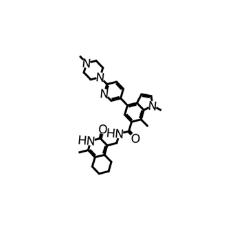 Cc1[nH]c(=O)c(CNC(=O)c2cc(-c3ccc(N4CCN(C)CC4)nc3)c3ccn(C)c3c2C)c2c1CCCC2